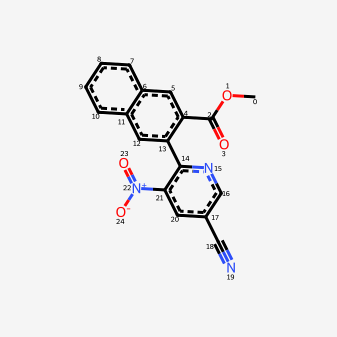 COC(=O)c1cc2ccccc2cc1-c1ncc(C#N)cc1[N+](=O)[O-]